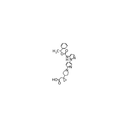 CC(OC(=O)Nc1ccnn1-c1ccc(N2CCC(C3(CC(=O)O)CC3)CC2)nc1)c1ccccc1